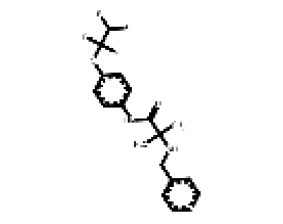 CC(C)(NCc1ccncc1)C(=O)Nc1ccc(OC(F)(F)C(F)F)cc1